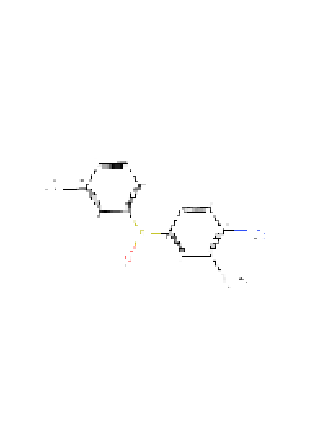 CC(=O)Nc1cc([S+]([O-])c2cccc(C)c2)ccc1N